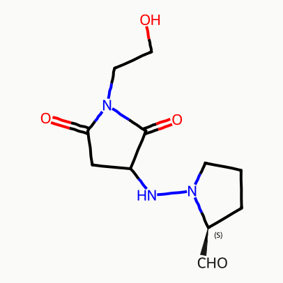 O=C[C@@H]1CCCN1NC1CC(=O)N(CCO)C1=O